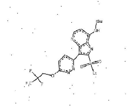 CCS(=O)(=O)c1nn2c(NC(C)(C)C)ccnc2c1-c1ccc(OCC(F)(F)C(F)(F)F)nn1